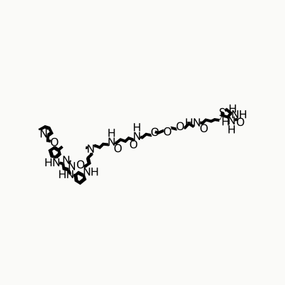 Cc1cc(Nc2cc(Nc3cccc(NC(=O)/C=C/CN(C)CCCCNC(=O)CCCC(=O)NCCCOCCOCCOCCCNC(=O)CCCC[C@@H]4SC[C@@H]5NC(=O)N[C@@H]54)c3)ncn2)ccc1OCc1ccccn1